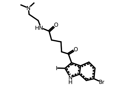 CN(C)CCNC(=O)CCCC(=O)c1c(I)[nH]c2cc(Br)ccc12